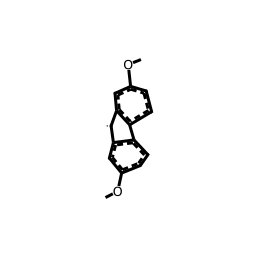 COc1ccc2c(c1)[CH]c1cc(OC)ccc1-2